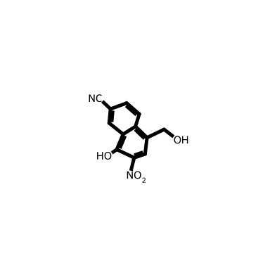 N#Cc1ccc2c(CO)cc([N+](=O)[O-])c(O)c2c1